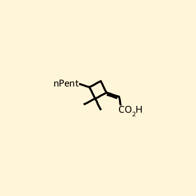 CCCCCC1CC(=CC(=O)O)C1(C)C